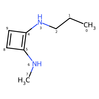 CCCNC1=C(NC)C=C1